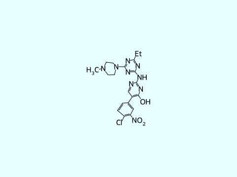 CCc1nc(Nc2ncc(-c3ccc(Cl)c([N+](=O)[O-])c3)c(O)n2)nc(N2CCN(C)CC2)n1